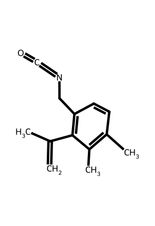 C=C(C)c1c(CN=C=O)ccc(C)c1C